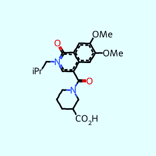 COc1cc2c(C(=O)N3CCCC(C(=O)O)C3)cn(CC(C)C)c(=O)c2cc1OC